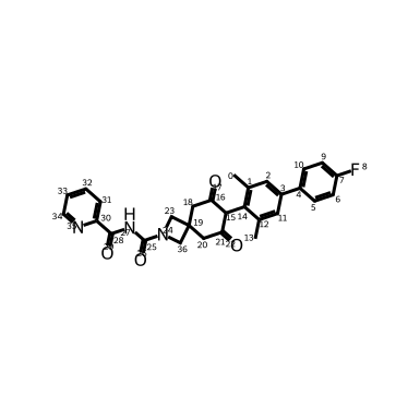 Cc1cc(-c2ccc(F)cc2)cc(C)c1C1C(=O)CC2(CC1=O)CN(C(=O)NC(=O)c1ccccn1)C2